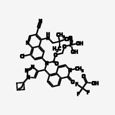 Cn1ccc2c(C(c3cn(C45CC(C4)C5)nn3)N(C(=O)OCOP(=O)(O)O)c3cc(Cl)c4ncc(C#N)c(NCC(C)(C)C)c4c3)cccc2c1=O.O=C(O)C(F)(F)F